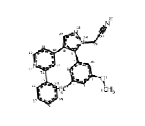 COc1cc(C)cc(-c2c(-c3ccnc(-c4ccccc4)c3)cnn2CC#N)c1